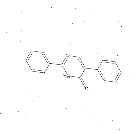 O=c1[nH]c(-c2ccccc2)ncc1-c1c[c][c]cc1